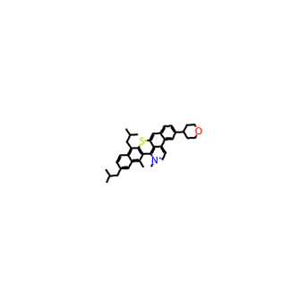 Cc1c2c(c(CC(C)C)c3ccc(CC(C)C)cc13)Sc1cc3ccc(C4CCOCC4)cc3c3cc[n+](C)c-2c13